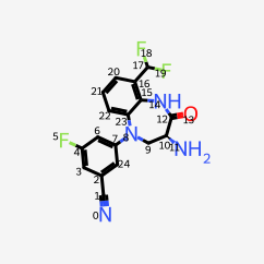 N#Cc1cc(F)cc(N2C[C@H](N)C(=O)Nc3c(C(F)F)cccc32)c1